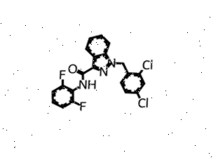 O=C(Nc1c(F)cccc1F)c1nn(Cc2ccc(Cl)cc2Cl)c2ccccc12